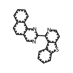 c1ccc2c(c1)ccc1cnc(-c3nccc4sc5ccccc5c34)nc12